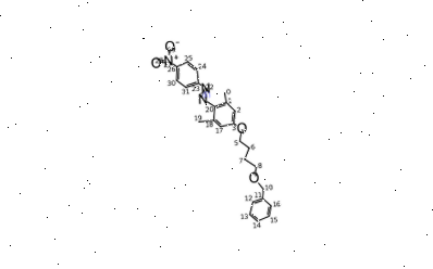 Cc1cc(OCCCCOCc2ccccc2)cc(C)c1/N=N/c1ccc([N+](=O)[O-])cc1